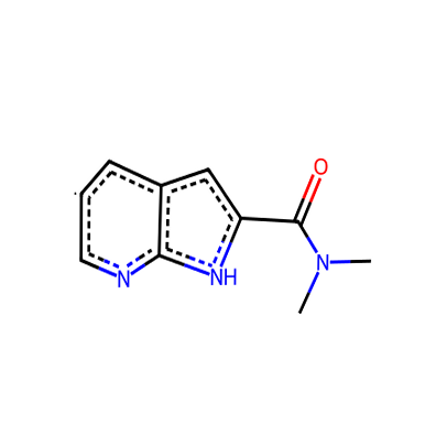 CN(C)C(=O)c1cc2c[c]cnc2[nH]1